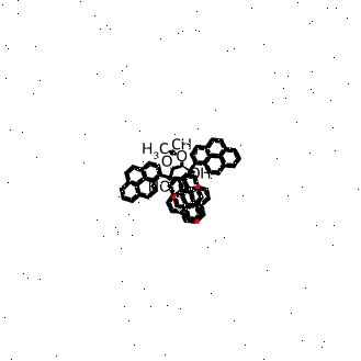 CC1(C)OC(C(O)(c2ccc3ccc4cccc5ccc2c3c45)c2ccc3ccc4cccc5ccc2c3c45)[C@H](C(O)(c2ccc3ccc4cccc5ccc2c3c45)c2ccc3ccc4cccc5ccc2c3c45)O1